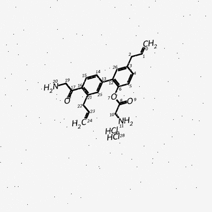 C=CCc1ccc(OC(=O)CN)c(-c2ccc(C(=O)CN)c(CC=C)c2)c1.Cl.Cl